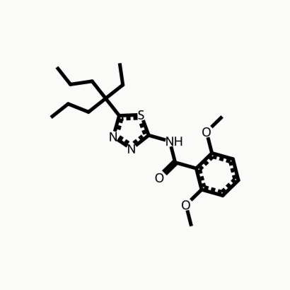 CCCC(CC)(CCC)c1nnc(NC(=O)c2c(OC)cccc2OC)s1